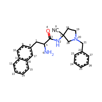 N#CC1(NC(=O)C(N)Cc2ccc3ccccc3c2)CCN(Cc2ccccc2)C1